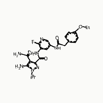 CCOc1ccc(CC(=O)Nc2cnc(F)c(NC(=O)c3nn(C(C)C)c(N)c3C(N)=O)c2)cc1